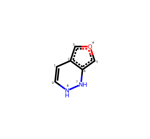 C1=Cc2cocc2NN1